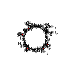 CCCC[C@H]1C(=O)N(C)[C@@H](CCCC)C(=O)N[C@@H](CCCNC(=N)N)C(=O)N[C@H](C(=O)NCC(N)=O)CSCC(=O)N[C@@H](Cc2ccccc2)C(=O)N(C)[C@@H](C)C(=O)N[C@@H](CC(N)=O)C(=O)N2CCC[C@H]2C(=O)N[C@@H](Cc2cnc[nH]2)C(=O)N[C@@H](CC(C)C)C(=O)N(C)CC(=O)N[C@@H](CCc2cscn2)C(=O)N[C@@H](CO)C(=O)N[C@@H](Cc2c[nH]c3ccccc23)C(=O)N1C